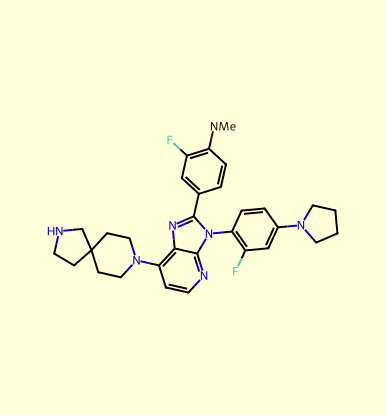 CNc1ccc(-c2nc3c(N4CCC5(CCNC5)CC4)ccnc3n2-c2ccc(N3CCCC3)cc2F)cc1F